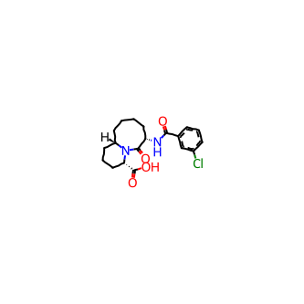 O=C(N[C@H]1CCCC[C@H]2CCC[C@@H](C(=O)O)N2C1=O)c1cccc(Cl)c1